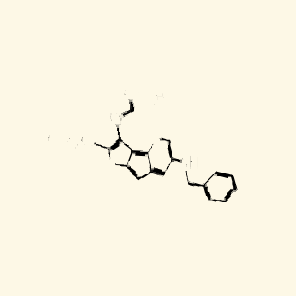 O=C(O)COc1c(C(=O)O)sc2cc3cc(NCc4ccccc4)csc-3c12